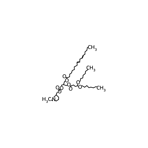 CCCCCC=CCC=CCCCCCCCC(=O)OCC(COC(=O)CCC(OCCCCCCCC)OCCCCCCCC)COC(=O)OCC1CCCN(CC)C1